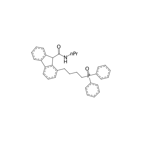 CCCNC(=O)C1c2ccccc2-c2cccc(CCCCP(=O)(c3ccccc3)c3ccccc3)c21